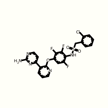 Nc1nccc(-c2cccnc2Oc2cc(F)c(NS(=O)(=O)Cc3ccccc3Cl)c(F)c2F)n1